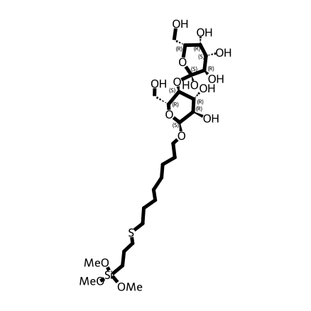 CO[Si](CCCSCCCCCCCCO[C@H]1O[C@H](CO)[C@@H](O[C@@]2(O)O[C@H](CO)[C@H](O)[C@H](O)[C@H]2O)[C@H](O)[C@H]1O)(OC)OC